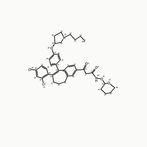 O=C(CC(=O)c1ccc2c(c1)CCCC(c1ccc(Cl)cc1Cl)=C2c1ccc(O[C@H]2CCN(CCCF)C2)cc1)NOC1CCCCO1